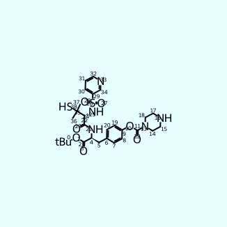 CC(C)(C)OC(=O)[C@H](Cc1ccc(OC(=O)N2CCNCC2)cc1)NC(=O)[C@@H](NS(=O)(=O)c1cccnc1)C(C)(C)S